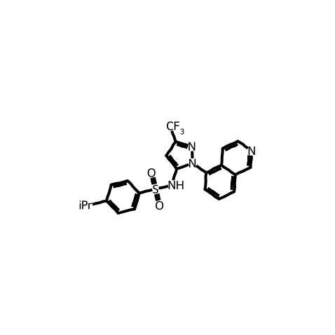 CC(C)c1ccc(S(=O)(=O)Nc2cc(C(F)(F)F)nn2-c2cccc3cnccc23)cc1